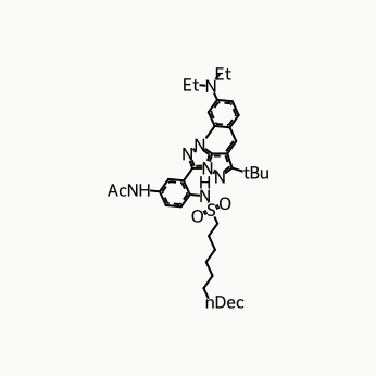 CCCCCCCCCCCCCCCCS(=O)(=O)Nc1ccc(NC(C)=O)cc1-c1nnc2/c(=C\c3ccc(N(CC)CC)cc3C)c(C(C)(C)C)nn12